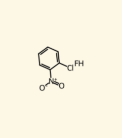 F.O=[N+]([O-])c1ccccc1Cl